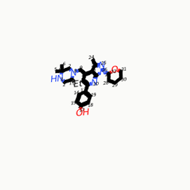 CCC1CNC(C)(C)CN1Cc1cc(-c2ccc(O)cc2)nc2c1c(C)nn2C1CCCCO1